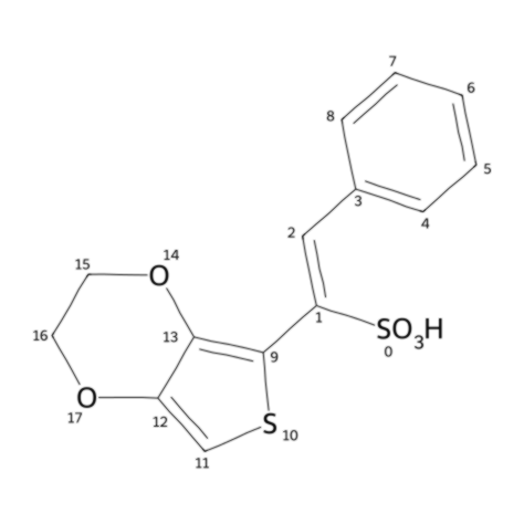 O=S(=O)(O)C(=Cc1ccccc1)c1scc2c1OCCO2